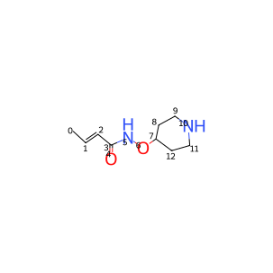 CC=CC(=O)NOC1CCNCC1